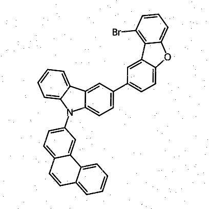 Brc1cccc2oc3ccc(-c4ccc5c(c4)c4ccccc4n5-c4ccc5ccc6ccccc6c5c4)cc3c12